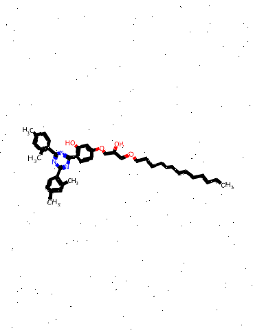 CCCCCCCCCCCCCOCC(O)COc1ccc(-c2nc(-c3ccc(C)cc3C)nc(-c3ccc(C)cc3C)n2)c(O)c1